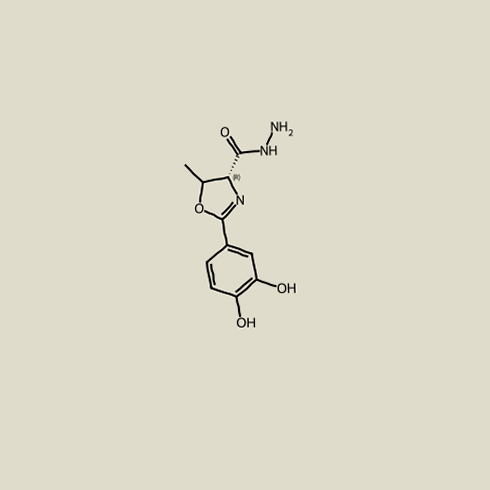 CC1OC(c2ccc(O)c(O)c2)=N[C@H]1C(=O)NN